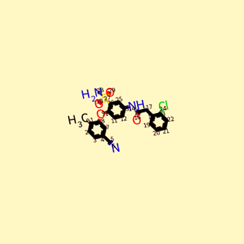 Cc1ccc(C#N)cc1Oc1ccc(NC(=O)Cc2ccccc2Cl)cc1S(N)(=O)=O